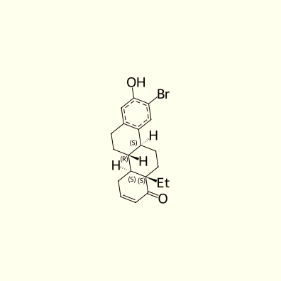 CC[C@]12CC[C@@H]3c4cc(Br)c(O)cc4CC[C@H]3[C@@H]1CC=CC2=O